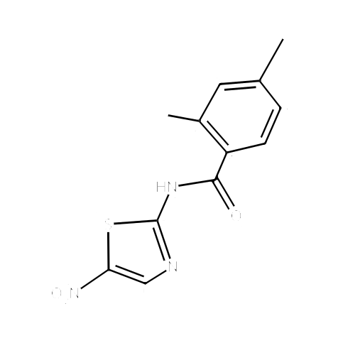 Cc1ccc(C(=O)Nc2ncc([N+](=O)[O-])s2)c(C)c1